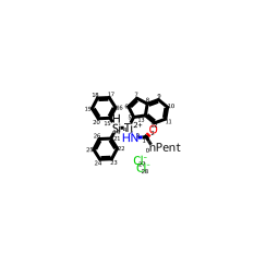 CCCCCC(=O)[NH][Ti+2]([CH]1C=Cc2ccccc21)[SiH](c1ccccc1)c1ccccc1.[Cl-].[Cl-]